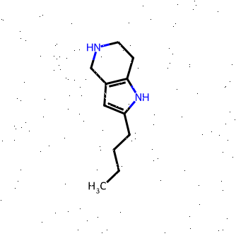 CCCCc1cc2c([nH]1)CCNC2